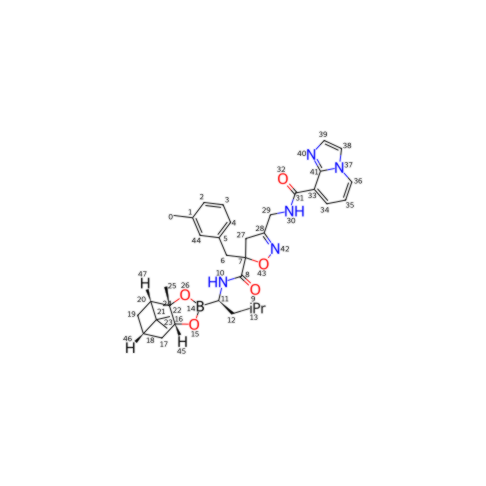 Cc1cccc(CC2(C(=O)N[C@@H](CC(C)C)B3O[C@@H]4C[C@@H]5C[C@@H](C5(C)C)[C@]4(C)O3)CC(CNC(=O)c3cccn4ccnc34)=NO2)c1